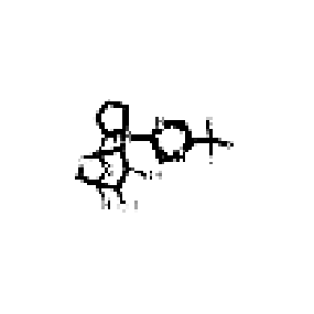 O[C@H]1[C@@H]2CO[C@@](C3CCCC3)(O2)C(Nc2cnc(C(F)(F)F)cn2)[C@H]1O